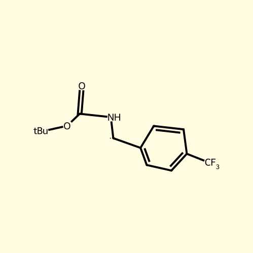 CC(C)(C)OC(=O)N[CH]c1ccc(C(F)(F)F)cc1